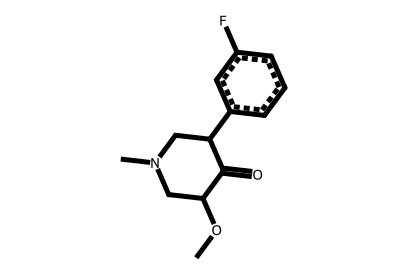 COC1CN(C)CC(c2cccc(F)c2)C1=O